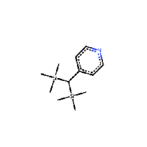 C[Si](C)(C)C(c1ccncc1)[Si](C)(C)C